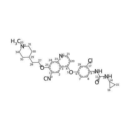 [C-]#[N+]c1cc2c(Oc3ccc(NC(=O)NC4CC4)c(Cl)c3)ccnc2cc1OCCC1CCN(C)CC1